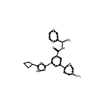 Cc1ccc(-c2cc(C(=O)NC(C)c3cnccn3)cc(-c3n[nH]c(C4CCC4)n3)c2)nc1